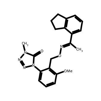 COc1cccc(-n2nnn(C)c2=O)c1CON=C(C)c1cccc2c1CCC2